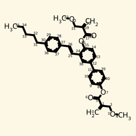 C=C(COC)C(=O)Oc1ccc(-c2ccc(OC(=O)C(=C)COC)c(/C=C/c3ccc(CCCCC)cc3)c2)cc1